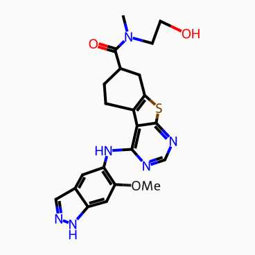 COc1cc2[nH]ncc2cc1Nc1ncnc2sc3c(c12)CCC(C(=O)N(C)CCO)C3